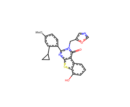 COc1ccc(-c2nc3sc4c(O)cccc4c3c(=O)n2Cc2cnco2)c(C2CC2)c1